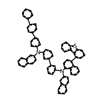 c1ccc(-c2ccc(-c3ccc(N(c4cccc(-c5cccc(N(c6ccc7ccccc7c6)c6ccc(-c7cccc8sc9ccccc9c78)c7ccccc67)c5)c4)c4ccc5ccccc5c4)cc3)cc2)cc1